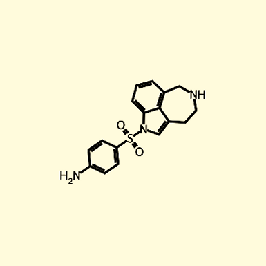 Nc1ccc(S(=O)(=O)n2cc3c4c(cccc42)CNCC3)cc1